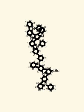 CC(C)(C)c1cc2c3cc4c(cc3n3c5cc6c7ccccc7n(-c7cccc(-c8ccc9c%10ccc%11c(c%12cc%13oc%14ccccc%14c%13c%13c%14c%15c(ccc%14n%11c%12%13)c%11ccccc%11n%15-c%11ccccc%11)c%10n(-c%10ccccc%10)c9c8)c7)c6cc5c(c1)c23)c1ccccc1n4-c1ccccc1